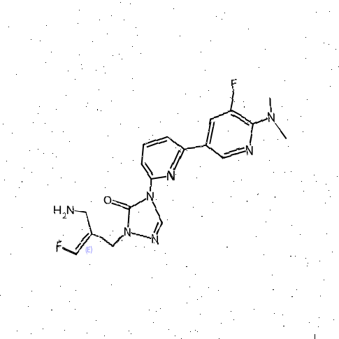 CN(C)c1ncc(-c2cccc(-n3cnn(C/C(=C/F)CN)c3=O)n2)cc1F